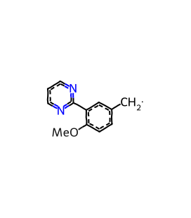 [CH2]c1ccc(OC)c(-c2ncccn2)c1